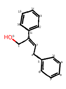 OC/C(=C\Cc1ccccc1)c1ccccc1